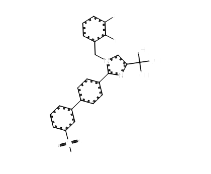 CC(C)(O)c1cn(Cc2cccc(Cl)c2Cl)c(-c2ccc(-c3cccc(S(C)(=O)=O)c3)cc2)n1